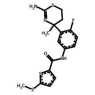 CSc1ccc(C(=O)Nc2ccc(F)c(C3(C)CCSC(N)=N3)c2)s1